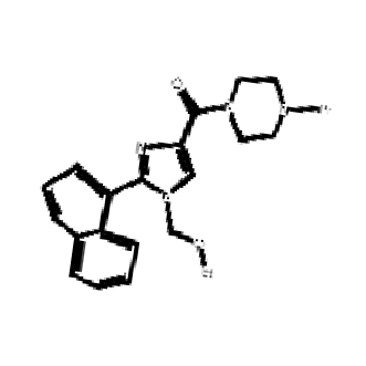 CCOCn1cc(C(=O)N2CCN(C(C)C)CC2)nc1-c1cccc2ccccc12